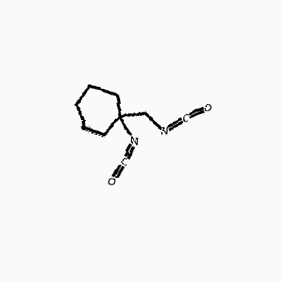 O=C=N[CH]C1(N=C=O)CCCCC1